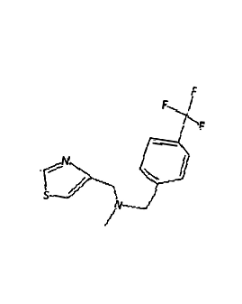 CN(Cc1ccc(C(F)(F)F)cc1)Cc1cs[c]n1